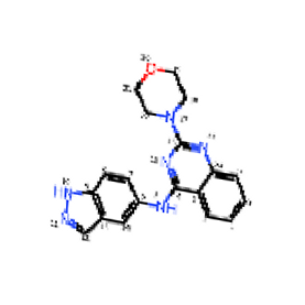 c1ccc2c(Nc3ccc4[nH]ncc4c3)nc(N3CCOCC3)nc2c1